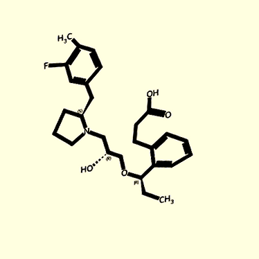 CC[C@@H](OC[C@H](O)CN1CCC[C@H]1Cc1ccc(C)c(F)c1)c1ccccc1CCC(=O)O